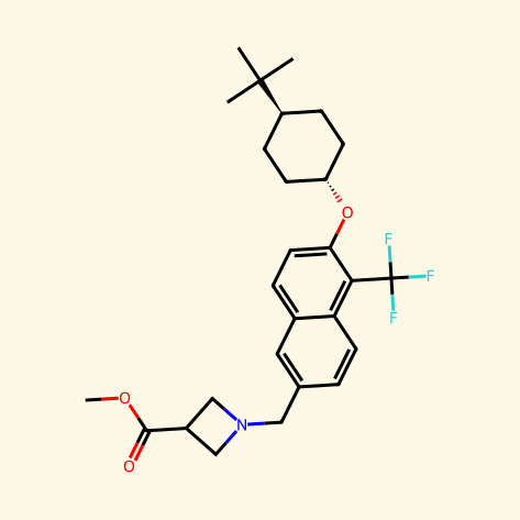 COC(=O)C1CN(Cc2ccc3c(C(F)(F)F)c(O[C@H]4CC[C@H](C(C)(C)C)CC4)ccc3c2)C1